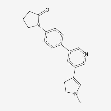 CN1C=C(c2cncc(-c3ccc(N4CCCC4=O)cc3)c2)CC1